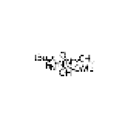 C=CCN1C(=O)N(c2nnc(C(C)(C)C)s2)C(O)C1COC